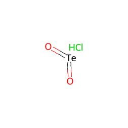 Cl.O=[Te]=O